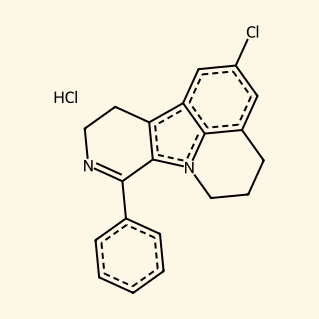 Cl.Clc1cc2c3c(c1)c1c(n3CCC2)C(c2ccccc2)=NCC1